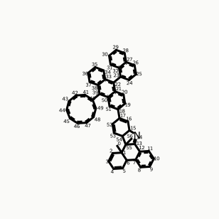 CC12C=CC=CC1c1ccccc1C1=NC3C=C(c4ccc5c(-c6cccc7ccccc67)c6ccccc6c(-c6ccccccccc6)c5c4)C=CC3C12C